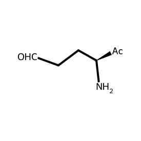 CC(=O)[C@@H](N)CCC=O